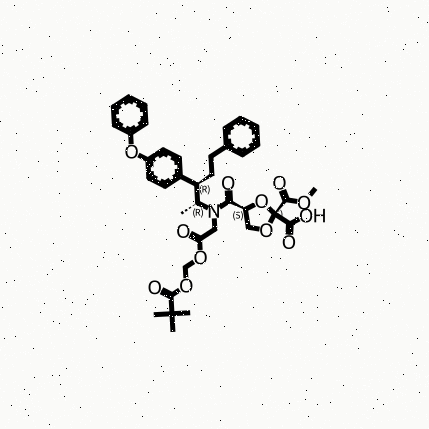 COC(=O)[C@@]1(C(=O)O)OC[C@@H](C(=O)N(CC(=O)OCOC(=O)C(C)(C)C)[C@H](C)[C@H](CCc2ccccc2)c2ccc(Oc3ccccc3)cc2)O1